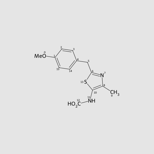 COc1ccc(Cc2nc(C)c(NC(=O)O)s2)cc1